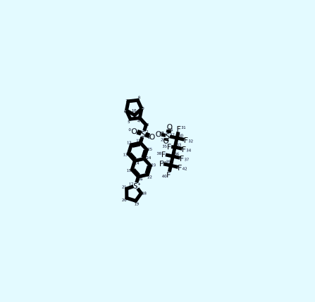 O=S(=O)(CC1CC2CCC1C2)c1ccc2cc([S+]3CCCC3)ccc2c1.O=S(=O)([O-])C(F)(F)C(F)(F)C(F)(F)C(F)(F)F